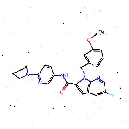 COc1cccc(Cn2c(C(=O)Nc3ccc(N4CCC4)nc3)cc3cc(F)cnc32)c1